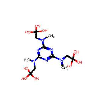 CN(CC(O)(O)O)c1nc(N(C)CC(O)(O)O)nc(N(C)CC(O)(O)O)n1